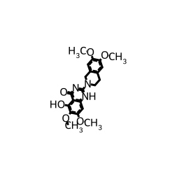 COc1cc2c(cc1OC)CN(c1nc(=O)c3c(O)c(OC)c(OC)cc3[nH]1)CC2